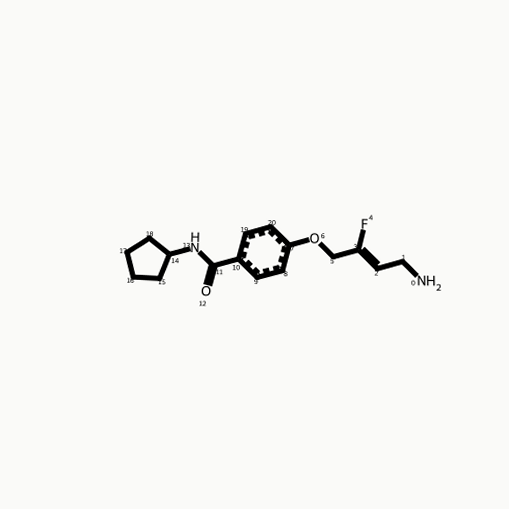 NCC=C(F)COc1ccc(C(=O)NC2CCCC2)cc1